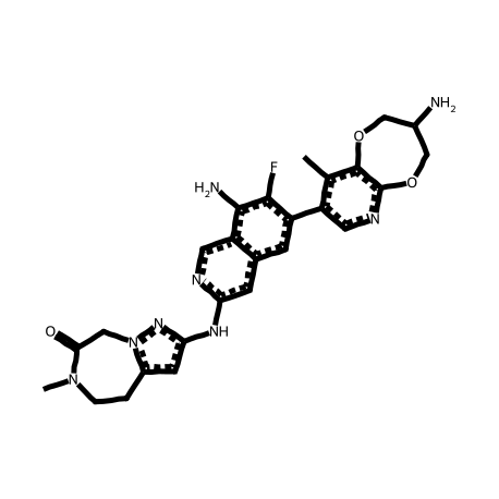 Cc1c(-c2cc3cc(Nc4cc5n(n4)CC(=O)N(C)CC5)ncc3c(N)c2F)cnc2c1OCC(N)CO2